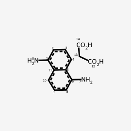 Nc1cccc2c(N)cccc12.O=C(O)CC(=O)O